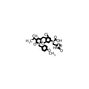 COc1ccc(Cn2nc(Cc3c(Cl)cc(N(Cc4noc(=O)[nH]4)C(=O)O)cc3Cl)cc(C(C)C)c2=O)cc1